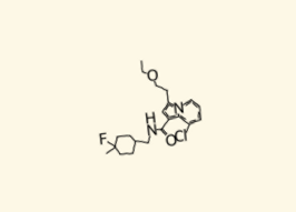 CCOCCc1cc(C(=O)NCC2CCC(C)(F)CC2)c2c(Cl)cccn12